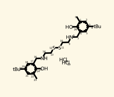 Cc1cc(C(C)(C)C)cc(CNCCSSCCNCc2cc(C(C)(C)C)cc(C)c2O)c1O.Cl.Cl